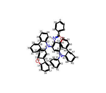 c1ccc(-c2nc3c(N(c4ccc5oc6ccccc6c5c4)c4ccccc4-c4ccccc4)cc(N(c4ccccc4)c4ccccc4-c4ccccc4)cc3o2)cc1